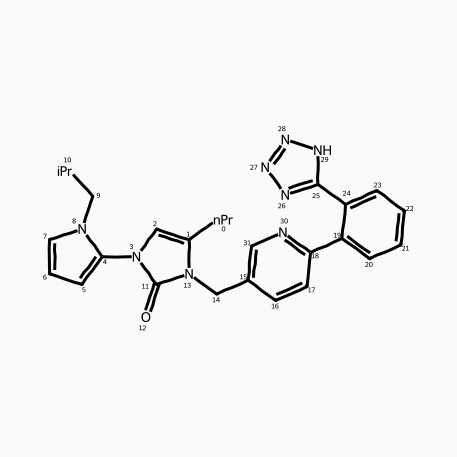 CCCc1cn(-c2cccn2CC(C)C)c(=O)n1Cc1ccc(-c2ccccc2-c2nnn[nH]2)nc1